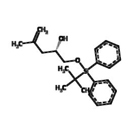 C=C(C)C[C@H](O)CO[Si](c1ccccc1)(c1ccccc1)C(C)(C)C